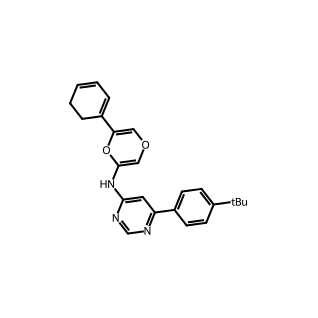 CC(C)(C)c1ccc(-c2cc(NC3=COC=C(C4=CC=CCC4)O3)ncn2)cc1